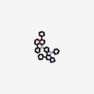 c1ccc(-c2ccc(N(c3ccc4c(c3)c3c(-c5ccccc5)cc5ccccc5c3n4-c3ccccc3)c3ccccc3-c3ccccc3)cc2)cc1